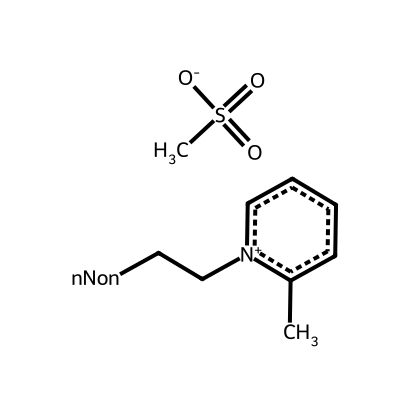 CCCCCCCCCCC[n+]1ccccc1C.CS(=O)(=O)[O-]